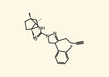 C#CCCC1=NN(C(=O)N[C@@]2(C)[C@H]3CC[C@]2(C)CC3)CC1c1ccccc1F